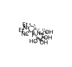 CCN(CC)c1ccc(CN2C[C@H](O)[C@@H](O)[C@H](O)[C@@H]2CO)c(F)c1C#N